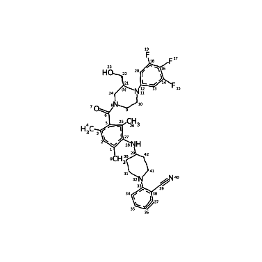 Cc1cc(C)c(C(=O)N2CCN(c3cc(F)c(F)c(F)c3)[C@H](CO)C2)c(C)c1NC1CCN(c2ccc#cc2C#N)CC1